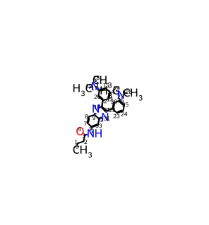 CCCC(=O)Nc1ccc2nc(-c3cccc(N(C)C)c3)c(-c3cccc(N(C)C)c3)nc2c1